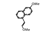 COC=Cc1cccc2cc(OC)ccc12